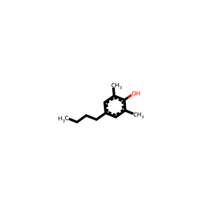 CCCCc1cc(C)c(O)c(C)c1